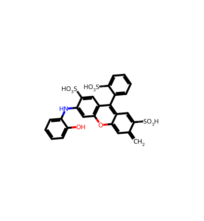 C=c1cc2c(cc1S(=O)(=O)O)=C(c1ccccc1S(=O)(=O)O)c1cc(S(=O)(=O)O)c(Nc3ccccc3O)cc1O2